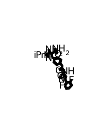 CC(C)n1nc(-c2ccc(CC(=O)Nc3cc(-c4c(F)cccc4F)no3)cc2)c(C(N)=O)c1N